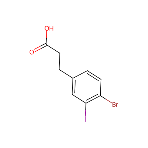 O=C(O)CCc1ccc(Br)c(I)c1